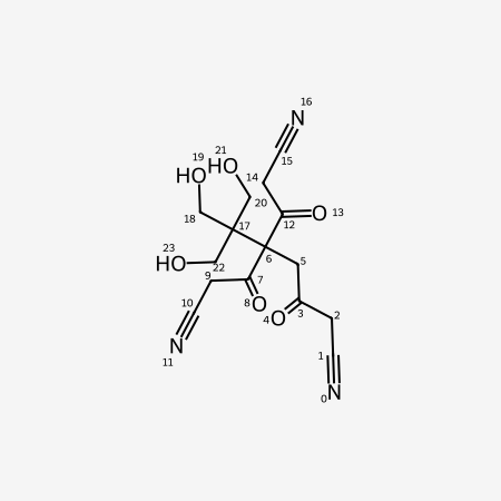 N#CCC(=O)CC(C(=O)CC#N)(C(=O)CC#N)C(CO)(CO)CO